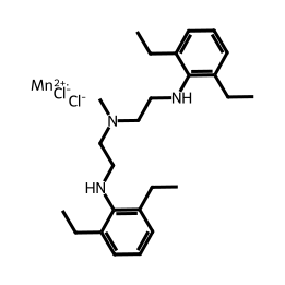 CCc1cccc(CC)c1NCCN(C)CCNc1c(CC)cccc1CC.[Cl-].[Cl-].[Mn+2]